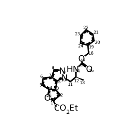 CCOC(=O)c1cc2c(ccc3cnn(C[C@H](C)NC(=O)OCc4ccccc4)c32)o1